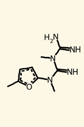 Cc1ccc(N(C)C(=N)N(C)C(=N)N)o1